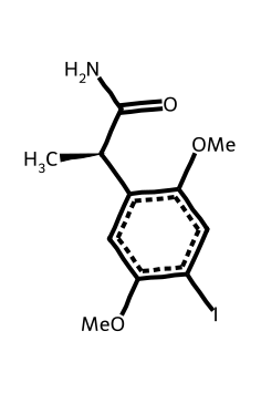 COc1cc([C@@H](C)C(N)=O)c(OC)cc1I